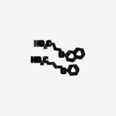 O=C(O)CCCCOc1ccccc1.O=C(O)CCCOc1ccc2ccccc2c1